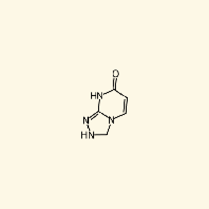 O=C1C=CN2CNN=C2N1